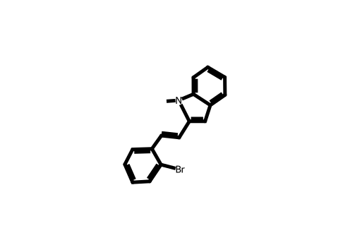 Cn1c(/C=C/c2ccccc2Br)cc2ccccc21